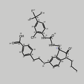 CCCN1C(=O)/C(=N/NC(=O)Nc2ccc(C(F)(F)F)cc2Cl)c2cc(SCCc3ccc(C(=O)O)cc3)ccc21